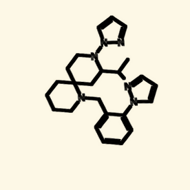 CC(C)C1CC2(CCCCN2Cc2ccccc2-n2cccn2)CCN1n1cccn1